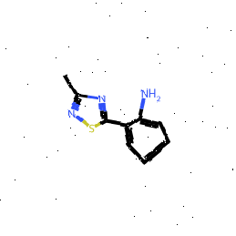 Cc1nsc(-c2ccccc2N)n1